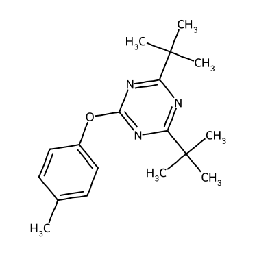 Cc1ccc(Oc2nc(C(C)(C)C)nc(C(C)(C)C)n2)cc1